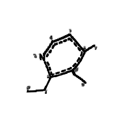 C[CH]c1nccc(C)c1C